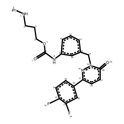 CC(C)NCCCOC(=O)Nc1cccc(Cn2nc(-c3ccc(F)c(F)c3)ccc2=O)c1